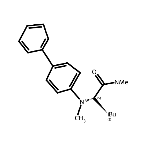 CC[C@H](C)[C@@H](C(=O)NC)N(C)c1ccc(-c2ccccc2)cc1